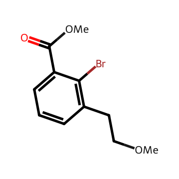 COCCc1cccc(C(=O)OC)c1Br